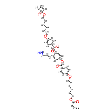 C=CC(=O)OCCCCCCOc1ccc(C(=O)Oc2ccc(OC(=O)c3ccc(OCCCCCCOC(=O)C=C)cc3)c(/C=C/C=N)c2)cc1